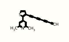 C#CC#CC#CC#Cc1ccsc1-c1cc(C)nc(C)c1